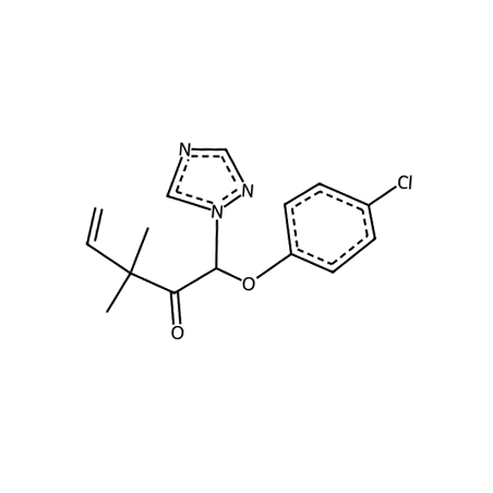 C=CC(C)(C)C(=O)C(Oc1ccc(Cl)cc1)n1cncn1